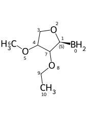 B[C@@H]1OCC(OC)C1OCC